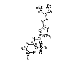 C=C1C[C@H](CCC(OCC)OCC)O[C@H]1CC[C@H](C[C@H](C)C(=C)I)OS(C)(=O)=O